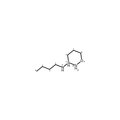 CCCCN[SiH]1CCCO[SiH2]1